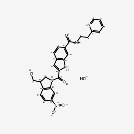 Cl.O=C(NCCc1ccccn1)c1ccc2cc(C(=O)N3CC(CCl)c4ccc([N+](=O)[O-])cc43)[nH]c2c1